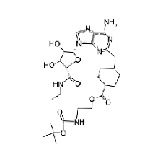 CCNC(=O)[C@H]1O[C@@H](n2cnc3c(N)nc(CC4CCC(C(=O)OCCNC(=O)OC(C)(C)C)CC4)nc32)C(O)C1O